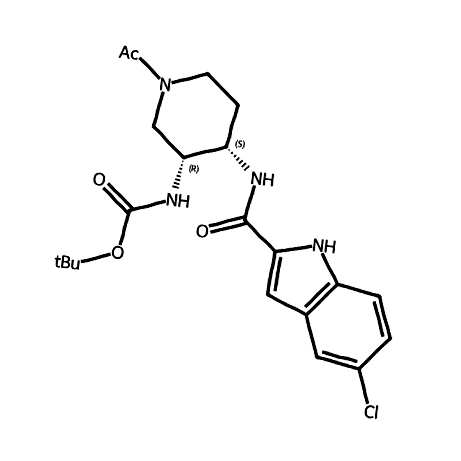 CC(=O)N1CC[C@H](NC(=O)c2cc3cc(Cl)ccc3[nH]2)[C@H](NC(=O)OC(C)(C)C)C1